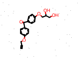 C#CCOc1ccc(C(=O)c2ccc(OCC(O)CO)cc2)cc1